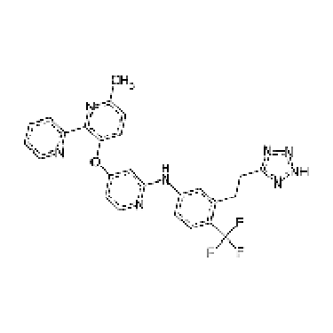 Cc1ccc(Oc2ccnc(Nc3ccc(C(F)(F)F)c(CCc4nn[nH]n4)c3)c2)c(-c2ccccn2)n1